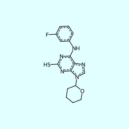 Fc1cccc(Nc2nc(S)nc3c2ncn3C2CCCCO2)c1